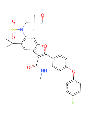 CNC(=O)c1c(-c2ccc(Oc3ccc(F)cc3)cc2)oc2cc(N(CC3(C)COC3)S(C)(=O)=O)c(C3CC3)cc12